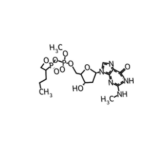 CCCC1COP1(=O)OP(=O)(OC)OCC1O[C@@H](n2cnc3c(=O)[nH]c(NC)nc32)C[C@H]1O